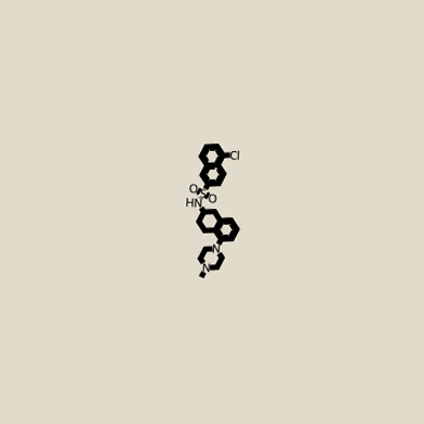 CN1CCN(c2cccc3c2CCC(NS(=O)(=O)c2ccc4c(Cl)cccc4c2)C3)CC1